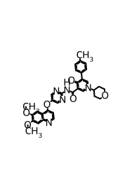 COc1cc2nccc(Oc3cnc(NC(=O)c4cn(C5CCOCC5)cc(-c5ccc(C)cc5)c4=O)nc3)c2cc1OC